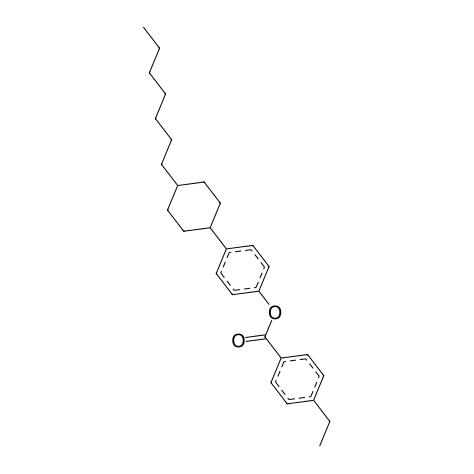 CCCCCCCC1CCC(c2ccc(OC(=O)c3ccc(CC)cc3)cc2)CC1